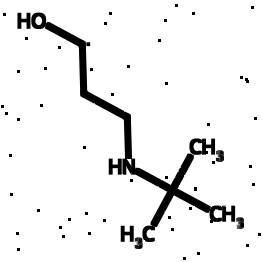 CC(C)(C)NCC[CH]O